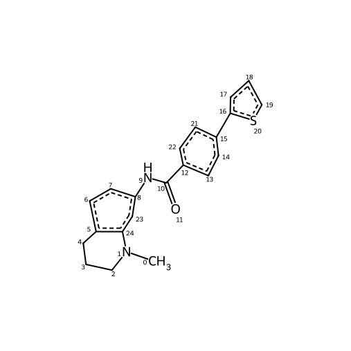 CN1CCCc2ccc(NC(=O)c3ccc(-c4cccs4)cc3)cc21